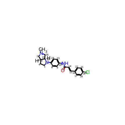 CN1C[C@@H]2CCN(c3ccc(NC(=O)/C=C/c4ccc(Cl)cc4)cc3)[C@@H]2C1